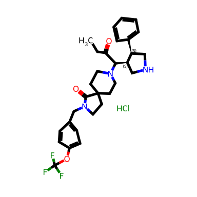 CCC(=O)C([C@@H]1CNC[C@@H]1c1ccccc1)N1CCC2(CCN(Cc3ccc(OC(F)(F)F)cc3)C2=O)CC1.Cl